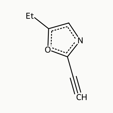 C#Cc1ncc(CC)o1